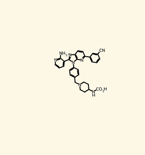 N#Cc1cccc(-c2ccc3nc(-c4cccnc4N)n(-c4ccc(CN5CCC(NC(=O)O)CC5)cc4)c3n2)c1